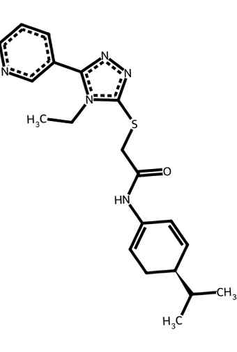 CCn1c(SCC(=O)NC2=CC[C@H](C(C)C)C=C2)nnc1-c1cccnc1